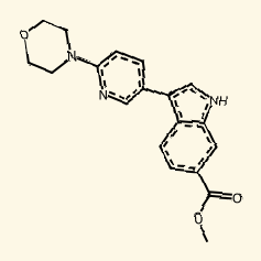 COC(=O)c1ccc2c(-c3ccc(N4CCOCC4)nc3)c[nH]c2c1